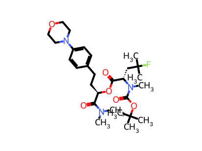 CN(C)C(=O)[C@@H](CCc1ccc(N2CCOCC2)cc1)OC(=O)[C@H](CC(C)(C)F)N(C)C(=O)OC(C)(C)C